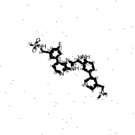 CN(C)Cc1cncc(-c2ccc3[nH]nc(-c4nc5c(-c6cc(F)cc(CNS(C)(=O)=O)c6)ccnc5[nH]4)c3c2)c1